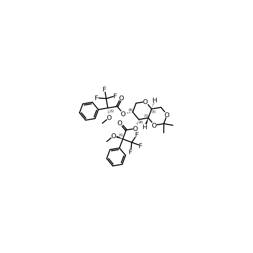 CO[C@](C(=O)O[C@H]1[C@H]2OC(C)(C)OC[C@@H]2OC[C@H]1OC(=O)[C@@](OC)(c1ccccc1)C(F)(F)F)(c1ccccc1)C(F)(F)F